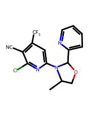 CC1COC(c2ccccn2)N1c1cc(C(F)(F)F)c(C#N)c(Cl)n1